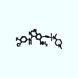 CN1CCC(N(C)C(C)(C)C#Cc2cc3ncnc(Nc4ccc(F)c(Cl)c4)c3cc2N)CC1